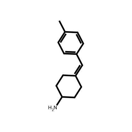 Cc1ccc(C=C2CCC(N)CC2)cc1